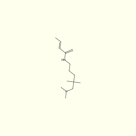 C/C=C/C(=O)NCCCC(C)(C)CN(C)C